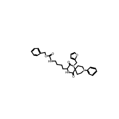 O=C(NCCCCC1NC(=O)C2(CCN(c3ccccc3)CC2)N(Cc2ccco2)C1=O)OCc1ccccc1